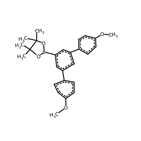 COc1ccc(-c2cc(B3OC(C)(C)C(C)(C)O3)cc(-c3ccc(OC)cc3)c2)cc1